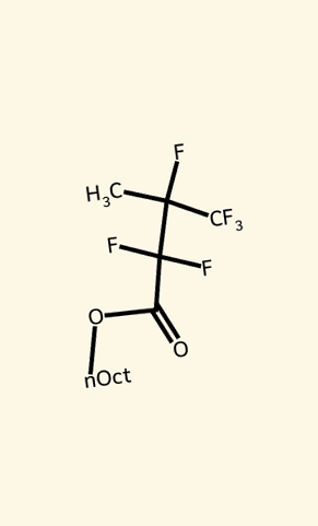 CCCCCCCCOC(=O)C(F)(F)C(C)(F)C(F)(F)F